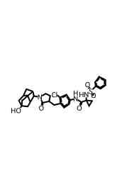 O=C1C(Cc2ccc(NC(=O)C3(NS(=O)(=O)c4ccccc4)CC3)cc2Cl)CCN1C1C2CC3CC1CC(O)(C3)C2